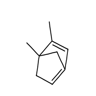 CC1=CC2=CCC1(C)C2